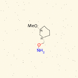 CO[C@@H]1CCC[C@H](CON)C1